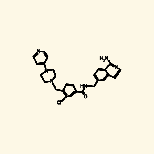 Nc1nccc2cc(CNC(=O)c3ccc(CN4CCN(c5ccncc5)CC4)c(Cl)c3)ccc12